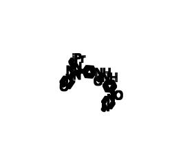 CC(C)Cc1nc(-c2ccc(NC(=O)Nc3ccc(C(=O)N4CCN(C)CC4)cc3)cc2)nc(N2CCOCC2)n1